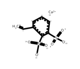 C=Cc1cccc(S(=O)(=O)[O-])c1S(=O)(=O)[O-].[Ca+2]